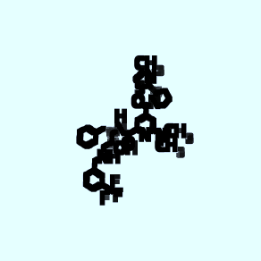 Cc1csc([C@H]2CCCN2C(=O)c2cc(C(=O)N[C@@H](Cc3ccccc3)[C@H](O)CNCc3cccc(C(F)(F)F)c3)nc(N(C)C)c2)n1